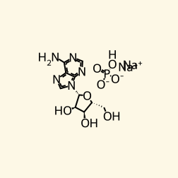 Nc1ncnc2c1ncn2[C@@H]1O[C@H](CO)[C@@H](O)[C@H]1O.O=P([O-])([O-])O.[Na+].[Na+]